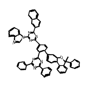 CC1(c2ccccc2)Oc2cc(-c3ccc(-c4nc(-c5ccc6ccccc6c5)nc(-n5cnc6ccccc65)n4)cc3-c3nc(-c4ccccc4)nc(-c4ccccc4)n3)ccc2-c2ccccc21